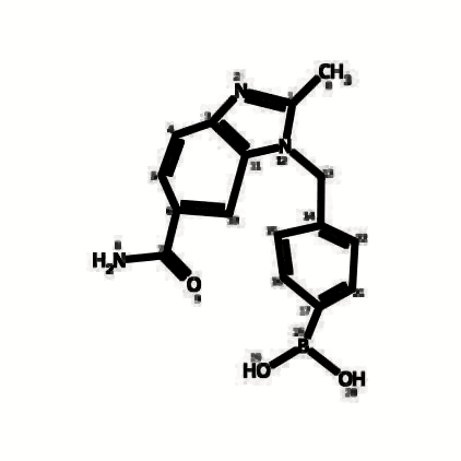 Cc1nc2ccc(C(N)=O)cc2n1Cc1ccc(B(O)O)cc1